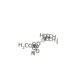 Cc1ccc(S(=O)(=O)n2c(C(=O)CC#N)cc3cc(C4CCN(C(=O)OC(C)(C)C)CC4)ccc32)cc1